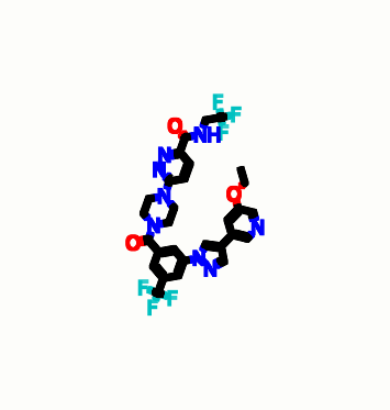 CCOc1cncc(-c2cnn(-c3cc(C(=O)N4CCN(c5ccc(C(=O)NCC(F)(F)F)nn5)CC4)cc(C(F)(F)F)c3)c2)c1